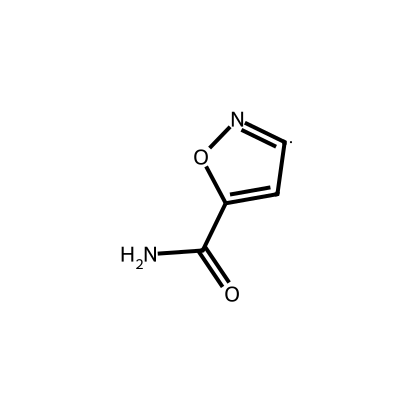 NC(=O)c1c[c]no1